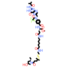 CC[C@@H]1C[C@@H](O)CN1C(=O)CCC(C)(C)SSCCNC(=O)CCCCCCNC(=O)CC[C@H](NC(=O)c1ccc(N(Cc2cnc3nc(NC(=O)C(C)C)[nH]c(=O)c3n2)C(=O)C(F)(F)F)cc1)C(=O)OC